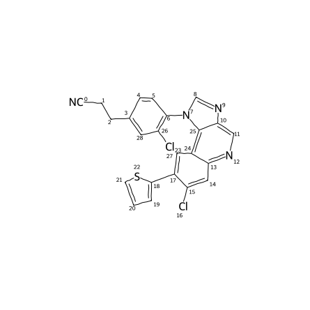 N#CCCc1ccc(-n2cnc3cnc4cc(Cl)c(-c5cccs5)cc4c32)c(Cl)c1